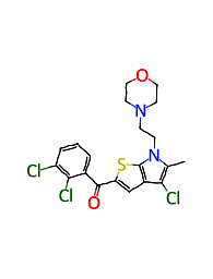 Cc1c(Cl)c2cc(C(=O)c3cccc(Cl)c3Cl)sc2n1CCN1CCOCC1